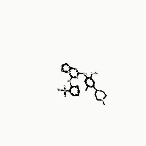 COc1cc(C2CCN(C)CC2)c(C)cc1Nc1nc(Nc2ccccc2S(=O)(=O)C(C)C)n2nccc2n1